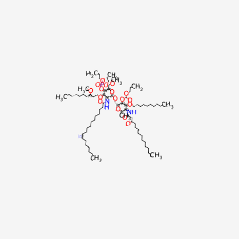 C=CCOC(=O)O[C@H]1[C@H](OCCCCCCCCCC)[C@@H](NC(=O)CC(=O)CCCCCCCCCCC)[C@@H](C)O[C@@H]1CO[C@@H]1O[C@H](COC)[C@@H](OP(=O)(OCC=C)OCC=C)[C@H](OCC[C@@H](CCCCCCC)OC)[C@H]1NC(=O)CCCCCCCCC/C=C\CCCCCC